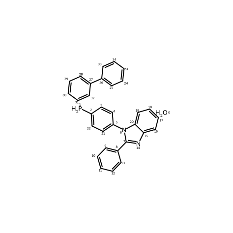 O.Pc1ccc(-n2c(-c3ccccc3)nc3ccccc32)cc1.c1ccc(-c2ccccc2)cc1